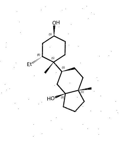 CC[C@@H]1C[C@@H](O)CC[C@]1(C)[C@H]1CC[C@]2(C)CCC[C@]2(O)C1